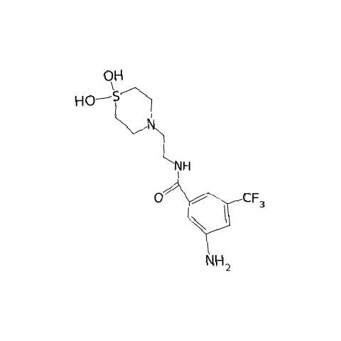 Nc1cc(C(=O)NCCN2CCS(O)(O)CC2)cc(C(F)(F)F)c1